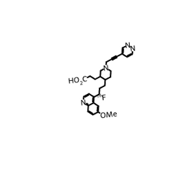 COc1ccc2nccc([C@@H](F)CCC3CCN(CC#Cc4ccnnc4)CC3CCC(=O)O)c2c1